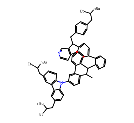 CCCCC(CC)Cc1ccc(CC2c3ccc(-c4ccccc4C4c5ccccc5-c5cc(-n6c7ccc(CC(CC)CCCC)cc7c7cc(CC(CC)CCCC)ccc76)ccc5C4C)cc3-c3ccncc32)cc1